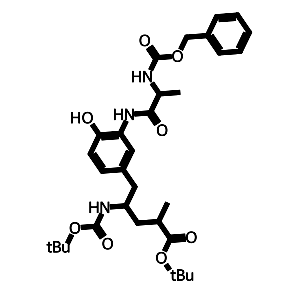 CC(CC(Cc1ccc(O)c(NC(=O)C(C)NC(=O)OCc2ccccc2)c1)NC(=O)OC(C)(C)C)C(=O)OC(C)(C)C